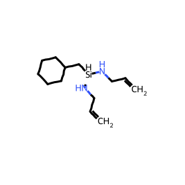 C=CCN[SiH](CC1CCCCC1)NCC=C